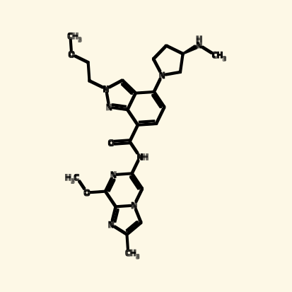 CN[C@@H]1CCN(c2ccc(C(=O)Nc3cn4cc(C)nc4c(OC)n3)c3nn(CCOC)cc23)C1